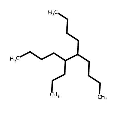 CCCC[C](CCCC)C(CCC)CCCC